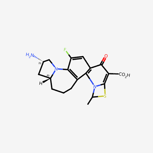 CC1Sc2c(C(=O)O)c(=O)c3cc(F)c4c(c3n21)CCC[C@@H]1C[C@H](N)CN41